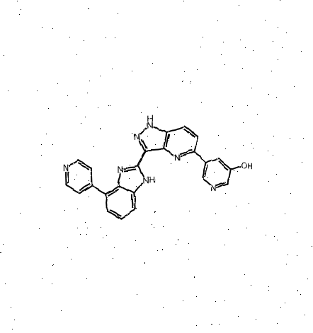 Oc1cncc(-c2ccc3[nH]nc(-c4nc5c(-c6ccncc6)cccc5[nH]4)c3n2)c1